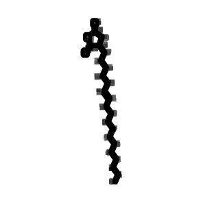 CCCCCCCCCCCC=CCCCCCC1CC(=O)OC1=O